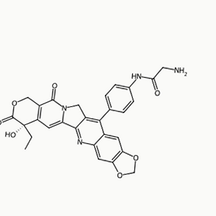 CC[C@@]1(O)C(=O)OCc2c1cc1n(c2=O)Cc2c-1nc1cc3c(cc1c2-c1ccc(NC(=O)CN)cc1)OCO3